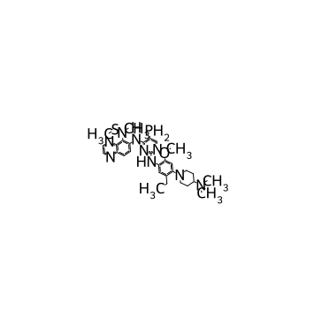 CCc1cc(Nc2ncc(P)c(Nc3ccc4nccnc4c3N(C)SC)n2)c(OC)cc1N1CCC(N(C)C)CC1